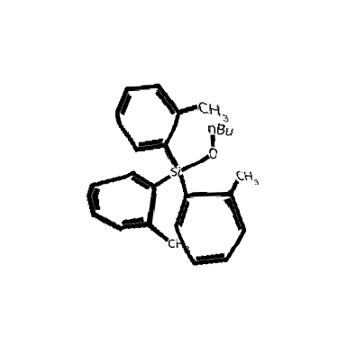 CCCCO[Si](c1ccccc1C)(c1ccccc1C)c1ccccc1C